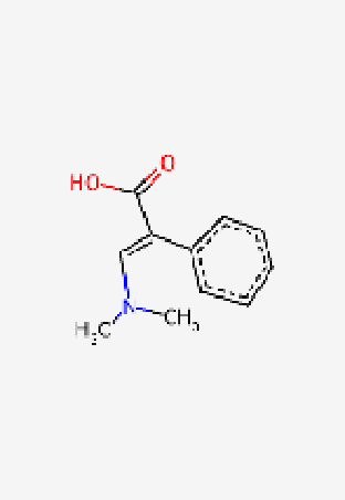 CN(C)/C=C(/C(=O)O)c1ccccc1